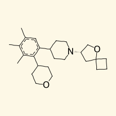 Cc1cc(C2CCN([C@@H]3COC4(CCC4)C3)CC2)c(C2CCOCC2)c(C)c1C